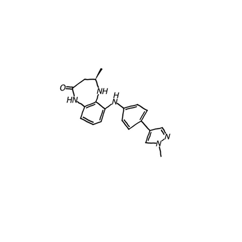 C[C@@H]1CC(=O)Nc2cccc(Nc3ccc(-c4cnn(C)c4)cc3)c2N1